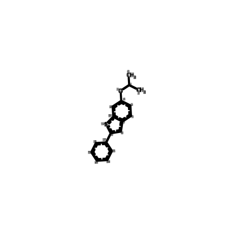 CC(C)Oc1ccc2cc(-c3ccccc3)sc2c1